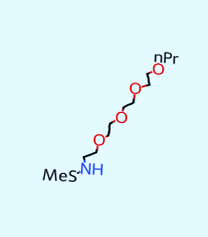 CCCOCCOCCOCCOCCNSC